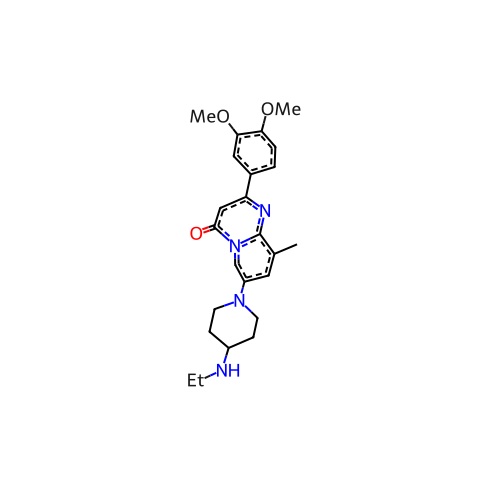 CCNC1CCN(c2cc(C)c3nc(-c4ccc(OC)c(OC)c4)cc(=O)n3c2)CC1